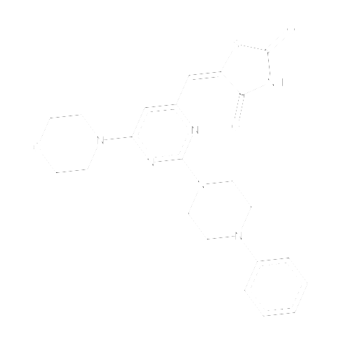 O=C1NC(=O)/C(=C\c2cc(N3CCOCC3)nc(N3CCN(c4ccccc4)CC3)n2)S1